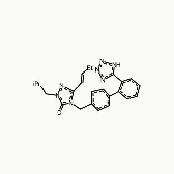 CCC=Cc1nn(CC(C)C)c(=O)n1Cc1ccc(-c2ccccc2-c2nnn[nH]2)cc1